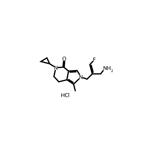 Cc1c2c(cn1CC(=CF)CN)C(=O)N(C1CC1)CC2.Cl